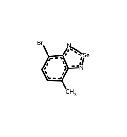 Cc1ccc(Br)c2n[se]nc12